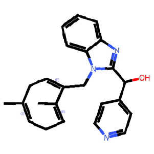 C/C1=C/C/C=C(C)/C(Cn2c(C(O)c3ccncc3)nc3ccccc32)=C\C1